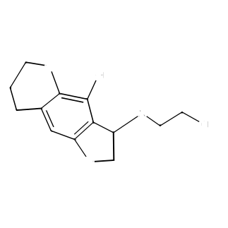 CCCNC1COc2cc3c(c(O)c21)OCCC3